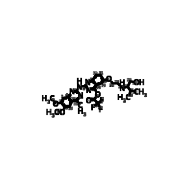 COc1cc2nc(Nc3nc(OC(=O)C(F)(F)F)c4cc(OCCNC(CO)C(C)C)ccc4n3)nc(C)c2cc1OC